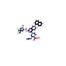 N#CC[C@H]1CN(c2nc(OC[C@@H]3CC(CF)(CF)CN3)nc3c2CCN(c2cccc4ccccc24)C3)CCN1C(=O)O